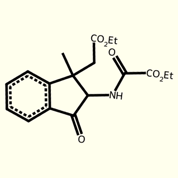 CCOC(=O)CC1(C)c2ccccc2C(=O)C1NC(=O)C(=O)OCC